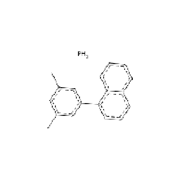 Cc1cc(C)cc(-c2cccc3ccccc23)c1.P